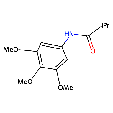 COc1cc(NC(=O)C(C)C)cc(OC)c1OC